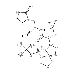 C#C[C@H](C[C@@H]1CCNC1=O)NC(=O)[C@H](CC1CC1)N1CCC2(CCCN2C(=O)OC(C)(C)C)C1=O